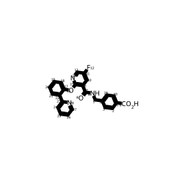 O=C(O)c1ccc(CNC(=O)c2cc(F)cnc2Oc2ccccc2-c2ccccn2)cc1